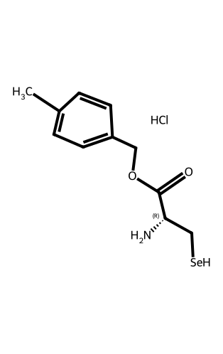 Cc1ccc(COC(=O)[C@@H](N)C[SeH])cc1.Cl